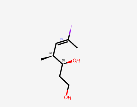 C/C(I)=C\[C@H](C)[C@@H](O)CCO